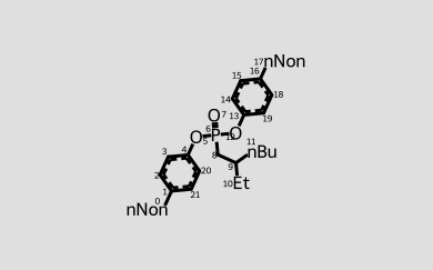 CCCCCCCCCc1ccc(OP(=O)(CC(CC)CCCC)Oc2ccc(CCCCCCCCC)cc2)cc1